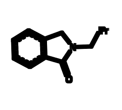 CC(C)CN1Cc2ccccc2C1=O